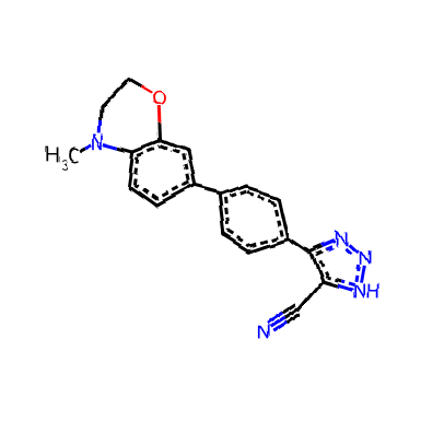 CN1CCOc2cc(-c3ccc(-c4nn[nH]c4C#N)cc3)ccc21